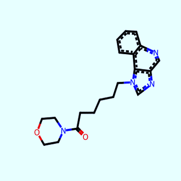 O=C(CCCCCn1cnc2cnc3ccccc3c21)N1CCOCC1